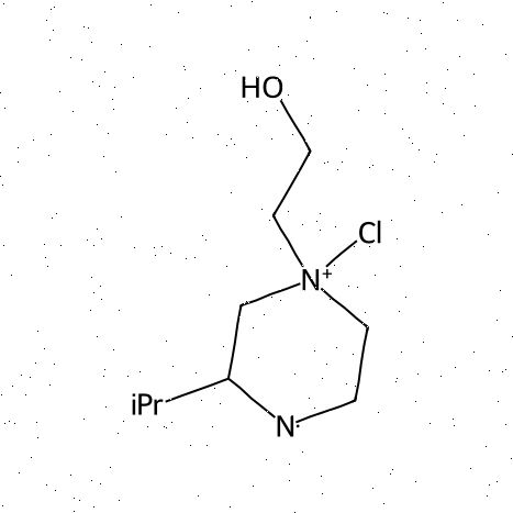 CC(C)C1C[N+](Cl)(CCO)CC[N]1